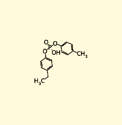 CCc1ccc(OP(=O)(O)Oc2ccc(C)cc2)cc1